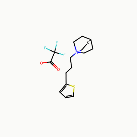 O=C([O-])C(F)(F)F.c1csc(CCC[N+]23CCC(CC2)CC3)c1